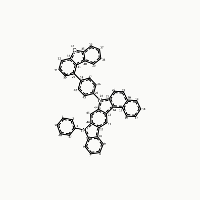 c1ccc(-n2c3ccccc3c3cc4c5c6ccccc6ccc5n(-c5ccc(-c6cccc7oc8ccccc8c67)cc5)c4cc32)cc1